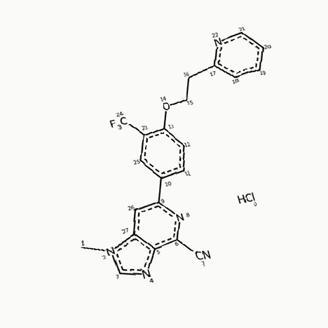 Cl.Cn1cnc2c(C#N)nc(-c3ccc(OCCc4ccccn4)c(C(F)(F)F)c3)cc21